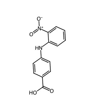 O=C(O)c1ccc(Nc2ccccc2[N+](=O)[O-])cc1